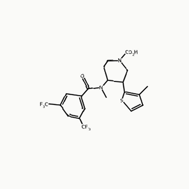 Cc1ccsc1C1CN(C(=O)O)CCC1N(C)C(=O)c1cc(C(F)(F)F)cc(C(F)(F)F)c1